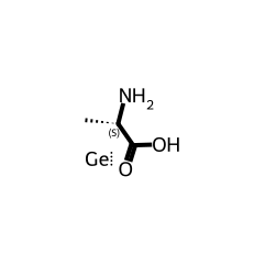 C[C@H](N)C(=O)O.[Ge]